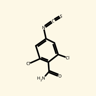 NC(=O)c1c(Cl)cc(N=C=S)cc1Cl